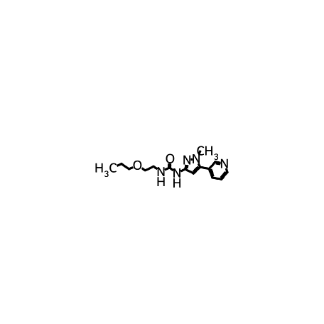 CCCOCCNC(=O)Nc1cc(-c2cccnc2)n(C)n1